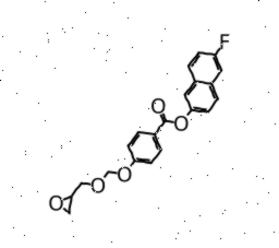 O=C(Oc1ccc2cc(F)ccc2c1)c1ccc(OCOCC2CO2)cc1